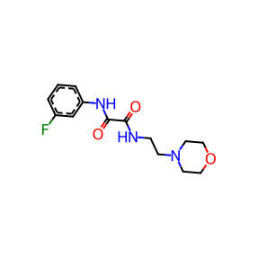 O=C(NCCN1CCOCC1)C(=O)Nc1cccc(F)c1